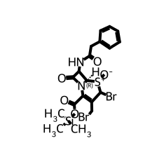 C[Si](C)(C)OC(=O)C1=C(CBr)C(Br)[S+]([O-])[C@@H]2C(NC(=O)Cc3ccccc3)C(=O)N12